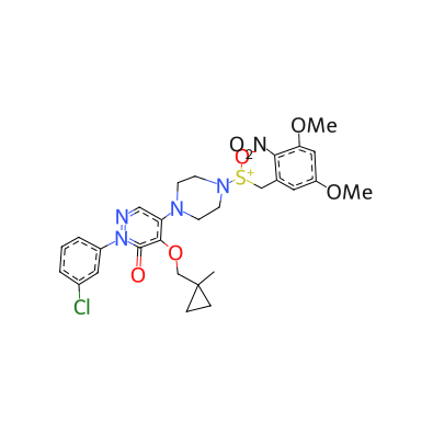 COc1cc(C[S+]([O-])N2CCN(c3cnn(-c4cccc(Cl)c4)c(=O)c3OCC3(C)CC3)CC2)c([N+](=O)[O-])c(OC)c1